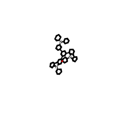 c1ccc(N(c2ccccc2)c2cccc(-c3cc(-c4ccc5c(c4)c4ccccc4n5-c4ccccc4)cc(-c4cccc5c6ccccc6n(-c6ccccc6)c45)c3)c2)cc1